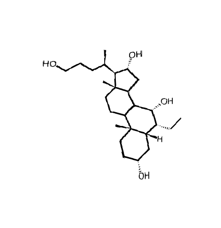 CC[C@H]1[C@@H](O)C2C3C[C@@H](O)[C@H]([C@H](C)CCCO)[C@@]3(C)CCC2[C@@]2(C)CC[C@@H](O)C[C@@H]12